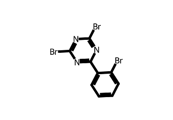 Brc1nc(Br)nc(-c2ccccc2Br)n1